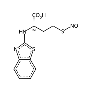 O=NSCC[C@H](Nc1nc2ccccc2s1)C(=O)O